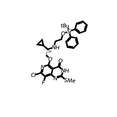 CSc1nc2c(F)c(Cl)nc(OC[C@@H](NCCO[Si](c3ccccc3)(c3ccccc3)C(C)(C)C)C3CC3)c2c(=O)[nH]1